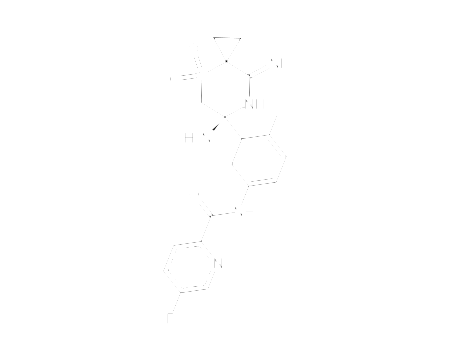 N=C1N[C@](N)(C2CC(NC(=O)c3ccc(F)cn3)=CC=C2F)CS(=O)(=O)C12CC2